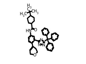 CC(C)(C)C1CCC(C(=O)Nc2ccc(C3=CCOCC3)c(-c3nnn(C(c4ccccc4)(c4ccccc4)c4ccccc4)n3)c2)CC1